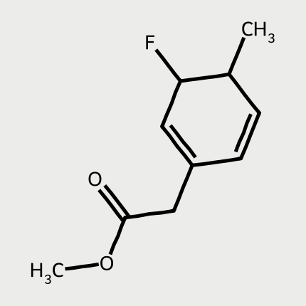 COC(=O)CC1=CC(F)C(C)C=C1